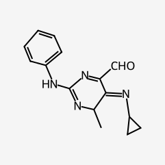 CC1N=C(Nc2ccccc2)N=C(C=O)C1=NC1CC1